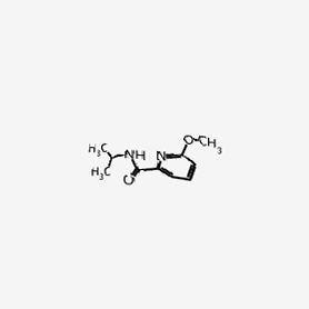 COc1cccc(C(=O)NC(C)C)n1